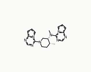 C[C@@H]1CCN(c2ncnc3cccn23)C[C@@H]1N(C)c1ncnc2cccn12